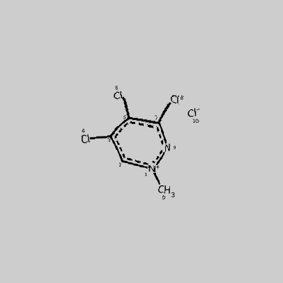 C[n+]1cc(Cl)c(Cl)c(Cl)n1.[Cl-]